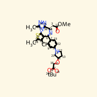 COC(=O)C[C@@H]1N=C(c2ccc(N3CCC(OCC(=O)OC(C)(C)C)C3)cc2)c2c(sc(C)c2C)-n2c(C)nnc21